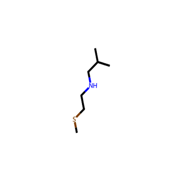 CSCCNCC(C)C